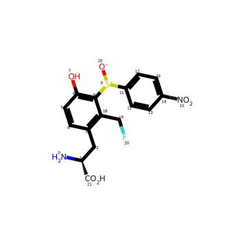 N[C@@H](Cc1ccc(O)c([S+]([O-])c2ccc([N+](=O)[O-])cc2)c1CF)C(=O)O